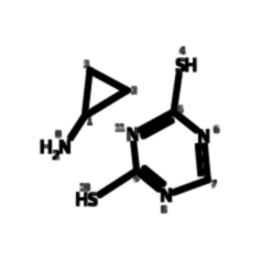 NC1CC1.Sc1ncnc(S)n1